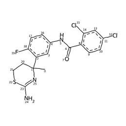 CC1(c2cc(NC(=O)c3ccc(Cl)cc3Cl)ccc2F)CCSC(N)=N1